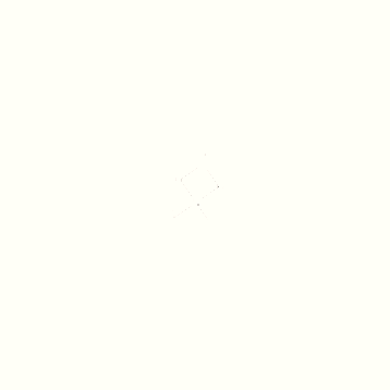 Cl[Si]1(Cl)COC1